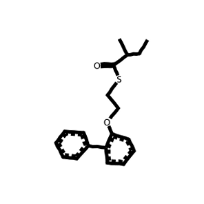 CCC(C)C(=O)SCCOc1ccccc1-c1ccccc1